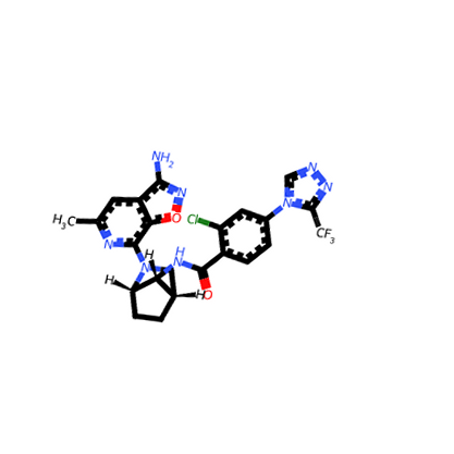 Cc1cc2c(N)noc2c(N2C[C@@H]3CC[C@H]2[C@@H]3NC(=O)c2ccc(-n3cnnc3C(F)(F)F)cc2Cl)n1